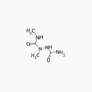 CNC(=O)N(C)NC(N)=O